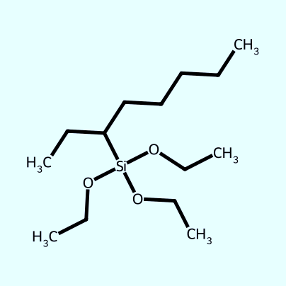 CCCCCC(CC)[Si](OCC)(OCC)OCC